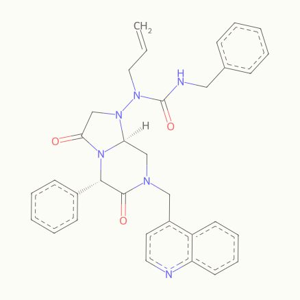 C=CCN(C(=O)NCc1ccccc1)N1CC(=O)N2[C@@H](c3ccccc3)C(=O)N(Cc3ccnc4ccccc34)C[C@@H]21